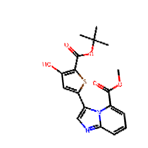 COC(=O)c1cccc2ncc(-c3cc(O)c(C(=O)OC(C)(C)C)s3)n12